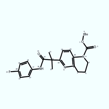 CC(C)(C)OC(=O)N1CCCc2nc(C(C)(C)C(=O)Nc3ccc(F)cc3)ccc21